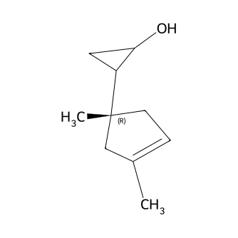 CC1=CC[C@@](C)(C2CC2O)C1